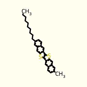 CCCCCCCCCCc1ccc2cc3c(cc2c1)sc1c2cc4ccc(C)cc4cc2sc31